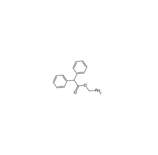 O=C(OCP)C(c1ccccc1)c1ccccc1